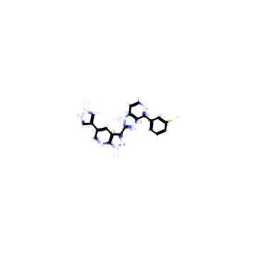 Fc1cccc(-c2nccc3[nH]c(-c4n[nH]c5ncc(-c6cn[nH]c6)cc45)nc23)c1